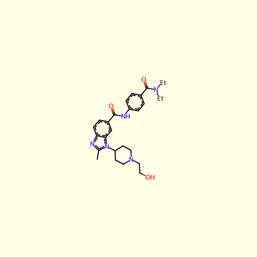 CCN(CC)C(=O)c1ccc(NC(=O)c2ccc3nc(C)n(C4CCN(CCO)CC4)c3c2)cc1